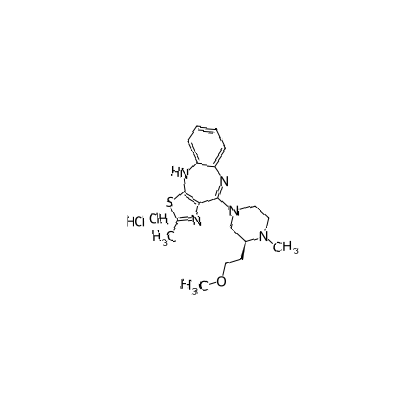 COCC[C@H]1CN(C2=Nc3ccccc3Nc3sc(C)nc32)CCN1C.Cl.Cl